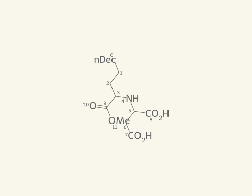 CCCCCCCCCCCCC(NC(CC(=O)O)C(=O)O)C(=O)OC